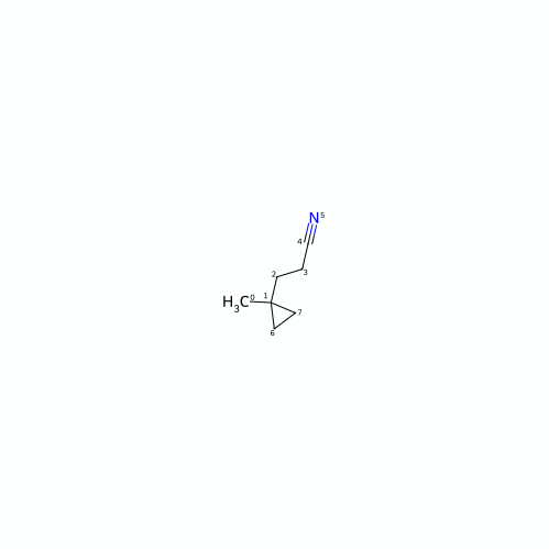 CC1(CCC#N)CC1